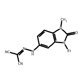 CCn1c(=O)n(C)c2ccc(NN=C(C#N)C#N)cc21